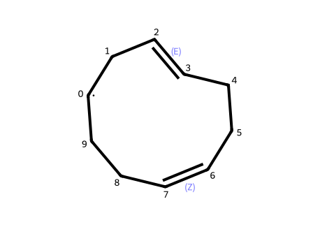 [CH]1C/C=C/CC/C=C\CC1